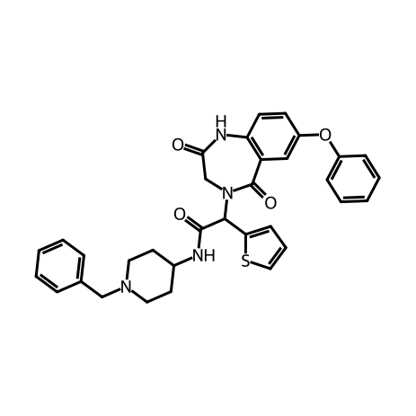 O=C1CN(C(C(=O)NC2CCN(Cc3ccccc3)CC2)c2cccs2)C(=O)c2cc(Oc3ccccc3)ccc2N1